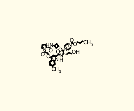 CCCCOC(=O)N1CCN(C(=O)[C@H](CCCO)NC(=O)c2cc(OCC(=O)N3CCC[C@H]3C(=O)NC3CCC3)c3ccc(C)cc3n2)CC1